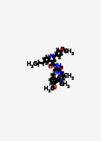 CCCCc1ccc2nc(-c3ccc(OC)cc3)cc(C(=O)NC(CSCc3ccc(OC)cc3)C(=O)NCC(C)(C)CN(C)C)c2c1